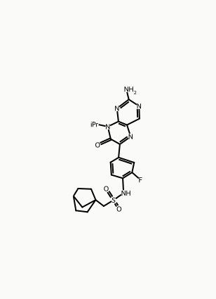 CC(C)n1c(=O)c(-c2ccc(NS(=O)(=O)CC34CCC(CC3)C4)c(F)c2)nc2cnc(N)nc21